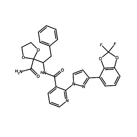 NC(=O)C1(C(Cc2ccccc2)NC(=O)c2cccnc2-n2ccc(-c3cccc4c3OC(F)(F)O4)n2)OCCO1